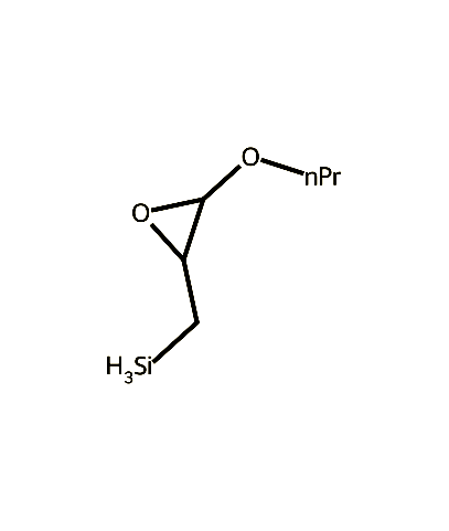 CCCOC1OC1C[SiH3]